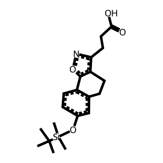 CC(C)(C)[Si](C)(C)Oc1ccc2c(c1)CCc1c(CCC(=O)O)noc1-2